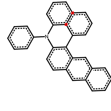 c1ccc(-c2c(N(c3ccccc3)c3ccccc3)ccc3cc4ccccc4cc23)cc1